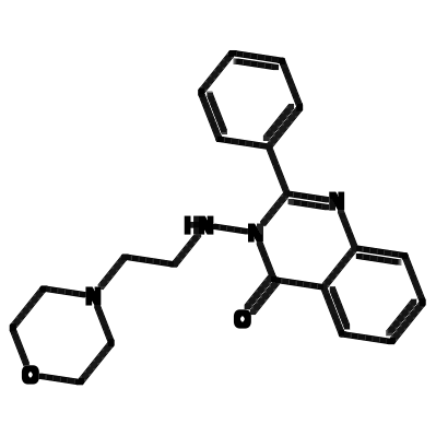 O=c1c2ccccc2nc(-c2ccccc2)n1NCCN1CCOCC1